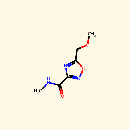 CNC(=O)c1noc(COC)n1